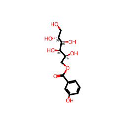 O=C(OC[C@H](O)[C@@H](O)[C@H](O)[C@H](O)CO)c1cccc(O)c1